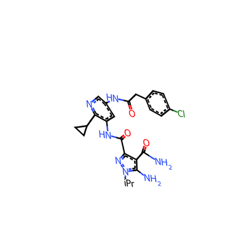 CC(C)n1nc(C(=O)Nc2cc(NC(=O)Cc3ccc(Cl)cc3)cnc2C2CC2)c(C(N)=O)c1N